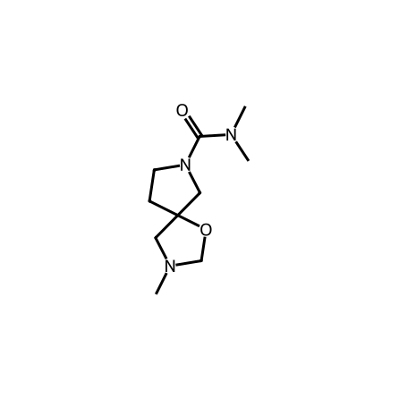 CN1COC2(CCN(C(=O)N(C)C)C2)C1